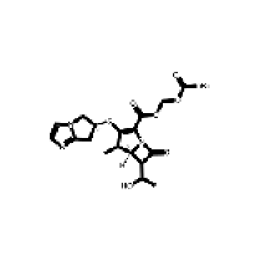 CCCCC(=O)OCOC(=O)C1=C(S[C@H]2Cc3nccn3C2)C(C)[C@@H]2C(C(C)O)C(=O)N12